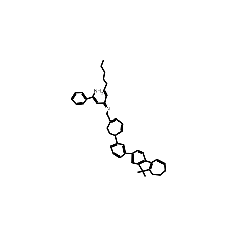 CCCCC/C=C/C(/C=C(\N)c1ccccc1)=N/CC1=CC=CC(c2cccc(-c3ccc4c(c3)C(C)(C)C3=C4C=CCCC3)c2)CC1